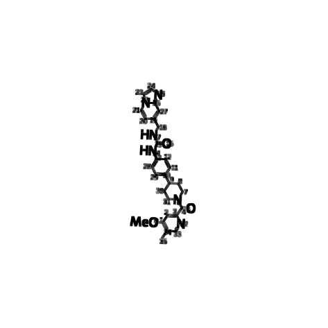 COc1cc(C(=O)N2CCC(c3ccc(NC(=O)NCc4ccn5ccnc5c4)cc3)CC2)ncc1C